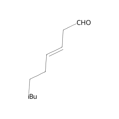 CCC(C)CC/C=C/CC=O